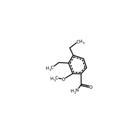 CCc1ccc(C(N)=O)c(OC)c1CC